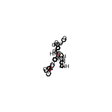 O=C(NS(=O)(=O)c1ccc(NCC2CCOCC2)c([N+](=O)[O-])c1)c1ccc(N2CCC3(CC2)CC(N2CCCC[C@]24CCOc2ccccc24)C3)cc1N1c2cc3cc[nH]c3nc2O[C@@H]2CCOC[C@H]21